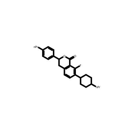 CCCc1ccc(C2Cc3ccc(C4CCC(CCC)CC4)c(F)c3C(=O)O2)cc1